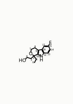 CCC1(CCO)OCCc2c1[nH]c1ccc(F)cc21